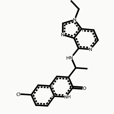 CCn1cnc2c(NC(C)c3cc4cc(Cl)ccc4[nH]c3=O)nccc21